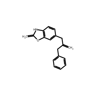 C=C(Cc1ccccc1)Cc1ccc2c(c1)OC(=C)N2